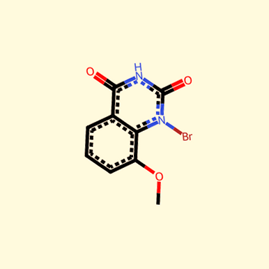 COc1cccc2c(=O)[nH]c(=O)n(Br)c12